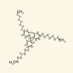 CCCCCCCCc1ccc([C](c2ccc(CCCCCCCC)cc2)c2ccc(CCCCCCCC)cc2)cc1